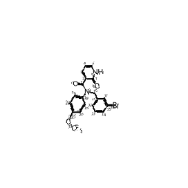 O=C(c1ccc[nH]c1=O)N(Cc1cccc(Br)c1)c1ccc(OC(F)(F)F)cc1